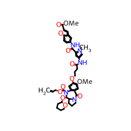 C=CCOC(=O)N1c2cc(OCCCC(=O)Nc3cc(C(=O)Nc4ccc5oc(C(=O)OC)cc5c4)n(C)c3)c(OC)cc2C(=O)N2CCCC2C1OC1CCCCO1